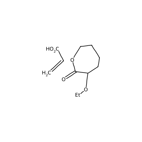 C=CC(=O)O.CCOC1CCCCOC1=O